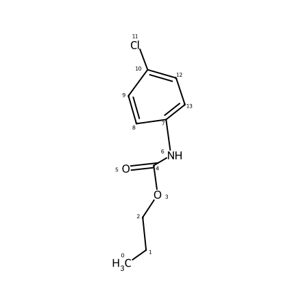 CCCOC(=O)Nc1ccc(Cl)cc1